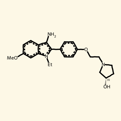 CCn1c(-c2ccc(OCCN3CC[C@H](O)C3)cc2)c(N)c2ccc(OC)cc21